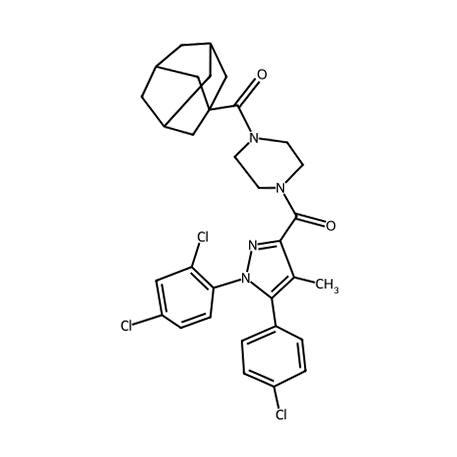 Cc1c(C(=O)N2CCN(C(=O)C34CC5CC(CC(C5)C3)C4)CC2)nn(-c2ccc(Cl)cc2Cl)c1-c1ccc(Cl)cc1